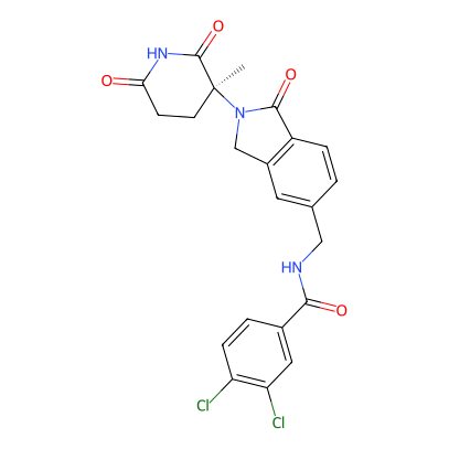 C[C@]1(N2Cc3cc(CNC(=O)c4ccc(Cl)c(Cl)c4)ccc3C2=O)CCC(=O)NC1=O